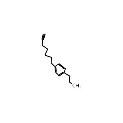 [C]#CCCCCCc1ccc(CCC)cc1